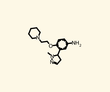 CN1N=CCC1c1cc(N)ccc1OCCN1CCCCC1